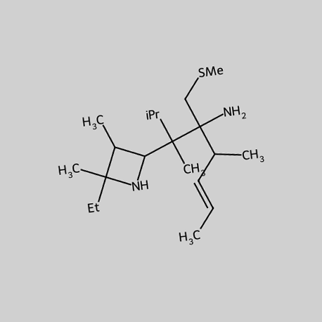 CC=CC(C)C(N)(CSC)C(C)(C(C)C)C1NC(C)(CC)C1C